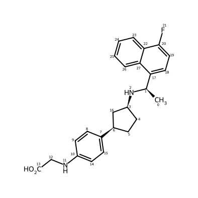 C[C@@H](N[C@H]1CC[C@@H](c2ccc(NCC(=O)O)cc2)C1)c1ccc(F)c2ccccc12